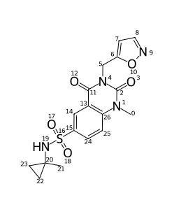 Cn1c(=O)n(Cc2ccno2)c(=O)c2cc(S(=O)(=O)NC3(C)CC3)ccc21